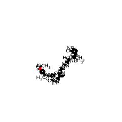 Cc1ncsc1-c1ccc([C@H](C)NC(=O)[C@@H]2C[C@@H](O)CN2C(=O)[C@@H](C(C)C)n2cc(-c3ccnc(OC4CN(c5ncc(C(=O)NC6C(C)(C)C(Oc7ccc(C#N)c(Cl)c7)C6(C)C)cn5)C4)c3)cn2)cc1